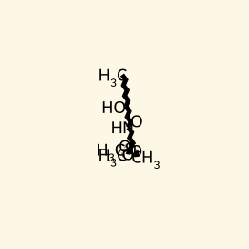 CCCCCCC(O)CCC(=O)NCCC[Si](OC)(OC)OC